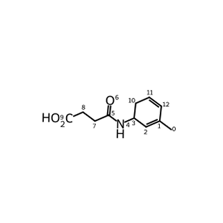 CC1=CC(NC(=O)CCC(=O)O)CC=C1